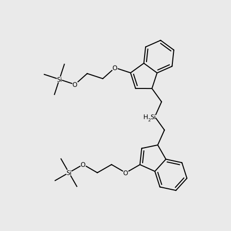 C[Si](C)(C)OCCOC1=CC(C[SiH2]CC2C=C(OCCO[Si](C)(C)C)c3ccccc32)c2ccccc21